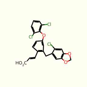 O=C(O)C=Cc1ccc(Oc2c(Cl)cccc2Cl)cc1Cc1cc2c(cc1Cl)OCO2